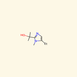 CCc1cnc(C(C)(C)O)n1C